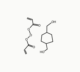 C=CC(=O)OOOC(=O)C=C.OCC1CCC(CO)CC1